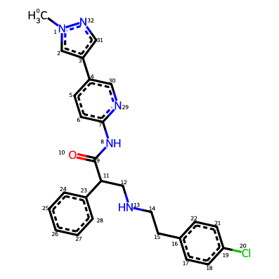 Cn1cc(-c2ccc(NC(=O)C(CNCCc3ccc(Cl)cc3)c3ccccc3)nc2)cn1